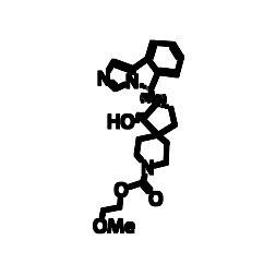 COCCOC(=O)N1CCC2(CC[C@@H]([C@H]3c4ccccc4-c4cncn43)[C@H]2O)CC1